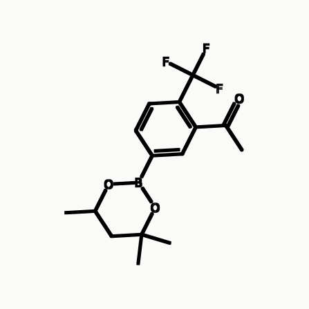 CC(=O)c1cc(B2OC(C)CC(C)(C)O2)ccc1C(F)(F)F